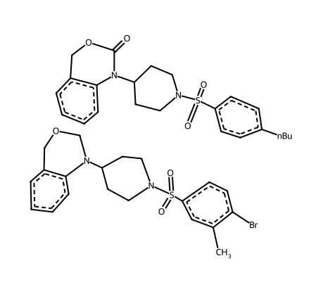 CCCCc1ccc(S(=O)(=O)N2CCC(N3C(=O)OCc4ccccc43)CC2)cc1.Cc1cc(S(=O)(=O)N2CCC(N3COCc4ccccc43)CC2)ccc1Br